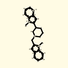 Cn1c(CN2CCCC(c3cc4ncccc4n3C)C2)cc2ccccc21